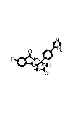 Cn1cncc1-c1ccc([C@@]2(CN3Cc4ccc(F)cc4C3=O)NC(=O)NC2=O)cc1